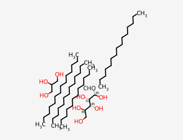 CCCCCCCCCCCC.CCCCCCCCCCCCC.CCCCCCCCCCCCCC.CCCCCCCCCCCCCCC.O=C[C@H](O)[C@@H](O)[C@H](O)[C@H](O)CO.OCC(O)CO